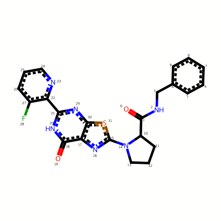 O=C(NCc1ccccc1)C1CCCN1c1nc2c(=O)[nH]c(-c3ncccc3F)nc2s1